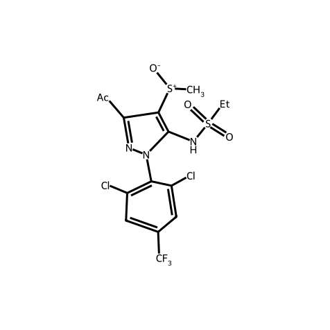 CCS(=O)(=O)Nc1c([S+](C)[O-])c(C(C)=O)nn1-c1c(Cl)cc(C(F)(F)F)cc1Cl